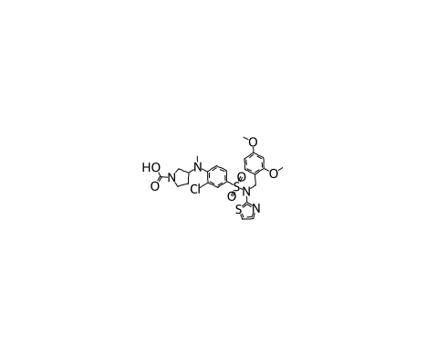 COc1ccc(CN(c2nccs2)S(=O)(=O)c2ccc(N(C)C3CCN(C(=O)O)C3)c(Cl)c2)c(OC)c1